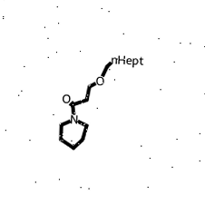 CCCCCCCCOCCC(=O)N1CCCCC1